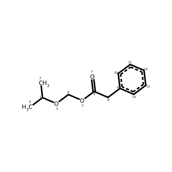 CC(C)OCOC(=O)Cc1ccccc1